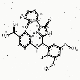 COc1cc(OC)c(F)c(C(Nc2ccc(C(=N)N)cc2)c2nn(-c3ncc[nH]c3=O)c(=O)[nH]2)c1